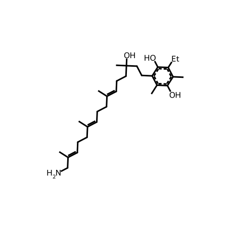 CCc1c(C)c(O)c(C)c(CCC(C)(O)CC/C=C(\C)CC/C=C(\C)CC/C=C(\C)CN)c1O